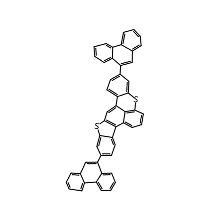 c1ccc2c(c1)cc(-c1ccc3c(c1)Sc1cccc4c1c-3cc1sc3cc(-c5cc6ccccc6c6ccccc56)ccc3c14)c1ccccc12